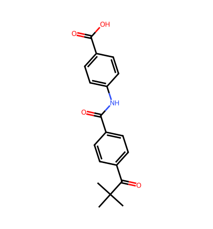 CC(C)(C)C(=O)c1ccc(C(=O)Nc2ccc(C(=O)O)cc2)cc1